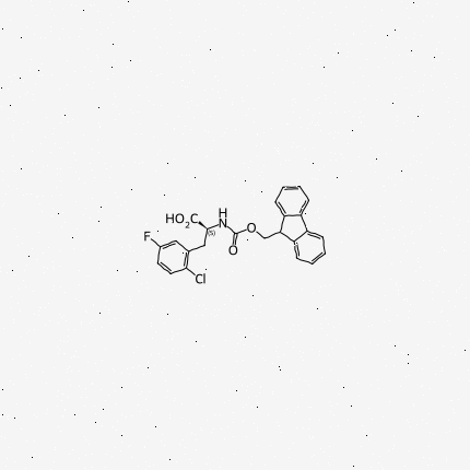 O=C(N[C@@H](Cc1cc(F)ccc1Cl)C(=O)O)OCC1c2ccccc2-c2ccccc21